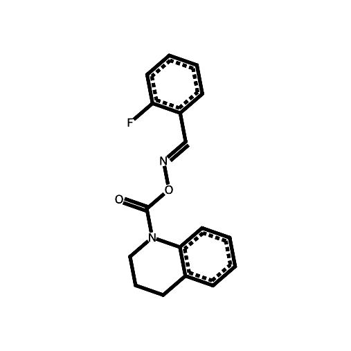 O=C(ON=Cc1ccccc1F)N1CCCc2ccccc21